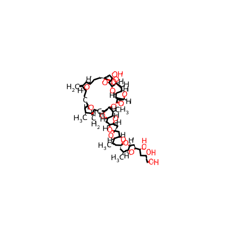 C=C1C[C@@H]2CC[C@@]34C[C@]5(O)O[C@@H]6C(O[C@H]7CC[C@H](CC(=O)O[C@@H]8[C@@H](C)[C@@H]9O[C@@H]%10C[C@]%11(C[C@@H]%12O[C@]%13(C[C@H](C)[C@@H]%14O[C@H]([C@@H](O)C[C@@H](O)CO)C[C@@H]%14O%13)C[C@H](C)[C@@H]%12O%11)O[C@@H]%10C[C@@H]9O[C@H]8C[C@H]8O[C@@H](CC[C@@H]1O2)C[C@@H](C)C8=C)O[C@@H]7[C@@H]6O3)C5O4